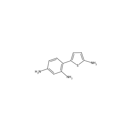 Nc1ccc(-c2ccc(N)s2)c(N)c1